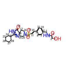 O=C(CO)NCc1ccc(C=CS(=O)(=O)N2CCC3(CC2)N=C(C2CCCCC2)NC3=O)cc1